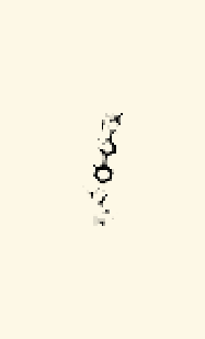 CNC(=O)[C@H]1CN(c2ccc(-c3ccc(-c4nnc(C)o4)nc3)c(F)c2)C(=O)O1